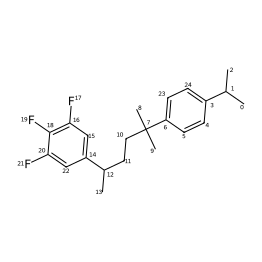 CC(C)c1ccc(C(C)(C)CCC(C)c2cc(F)c(F)c(F)c2)cc1